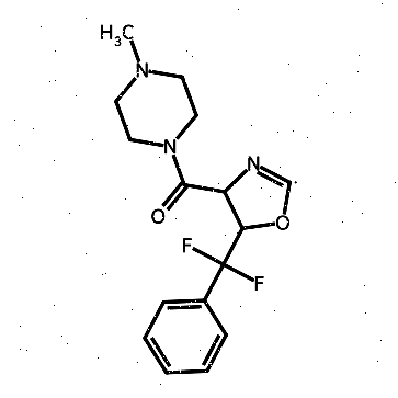 CN1CCN(C(=O)C2N=[C]OC2C(F)(F)c2ccccc2)CC1